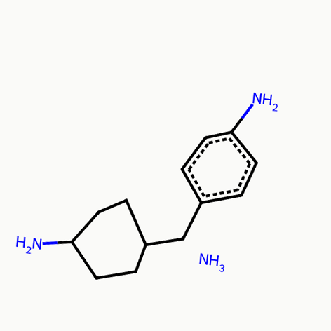 N.Nc1ccc(CC2CCC(N)CC2)cc1